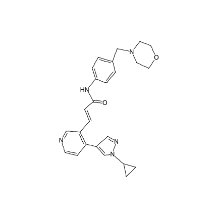 O=C(C=Cc1cnccc1-c1cnn(C2CC2)c1)Nc1ccc(CN2CCOCC2)cc1